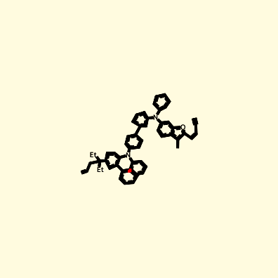 C#C/C=C\c1oc2cc(N(c3ccccc3)c3cccc(-c4ccc(N(c5ccccc5)c5ccc(C(CC)(CC)CC=C)cc5-c5ccccc5)cc4)c3)ccc2c1C